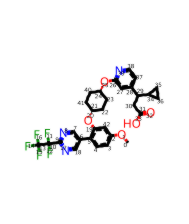 COc1ccc(-c2cnc(C(F)(F)C(F)(F)F)nc2)c(O[C@H]2CC[C@H](Oc3cc(C(CC(=O)O)C4CC4)ccn3)CC2)c1